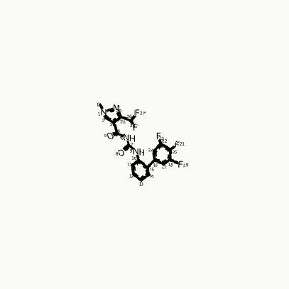 Cn1cc(C(=O)NC(=O)Nc2ccccc2-c2cc(F)c(F)c(F)c2)c(C(F)F)n1